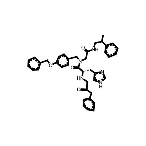 CC(CNC(=O)CN(Cc1ccc(OCc2ccccc2)cc1)C(=O)[C@H](Cc1c[nH]cn1)NCC(=O)Cc1ccccc1)c1ccccc1